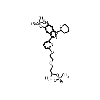 CC(CCOCCOc1cccc(-c2nn(C3CCCCO3)c3ccc(O[Si](C)(C)C(C)(C)C)cc23)n1)OS(C)(=O)=O